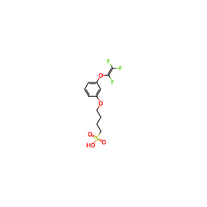 O=S(=O)(O)CCCCOc1cccc(OC(F)=C(F)F)c1